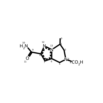 CC1CN(C(=O)O)Cc2cc(C(N)=O)nn21